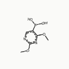 COc1ncc(B(O)O)c(OC)n1